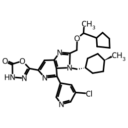 CC(OCc1nc2cc(-c3n[nH]c(=O)o3)nc(-c3cncc(Cl)c3)c2n1C[C@H]1CC[C@H](C)CC1)C1CCCC1